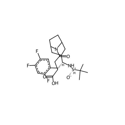 CC(C)(C)[S@+]([O-])N[C@H](Cc1cc(F)c(F)cc1F)C1CC2CCC(C1)N2C(=O)CCC(=O)O